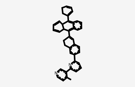 Cc1ccncc1-c1cccc(-c2ccc3c(c2)CCC(C2=c4ccccc4=C(C4=CC=CCC4)C4C=CC=CC24)=C3)n1